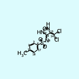 Cc1ccc(S(=O)(=O)/N=C2\NONC2=C(Cl)Cl)cc1